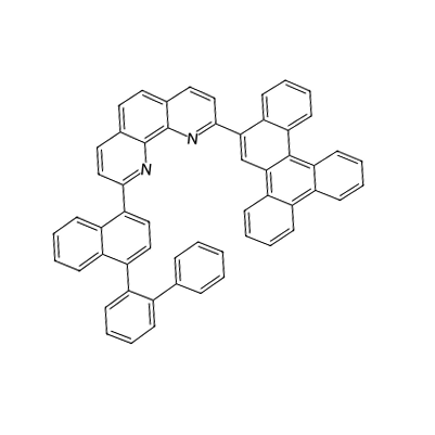 c1ccc(-c2ccccc2-c2ccc(-c3ccc4ccc5ccc(-c6cc7c8ccccc8c8ccccc8c7c7ccccc67)nc5c4n3)c3ccccc23)cc1